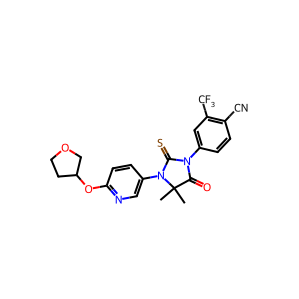 CC1(C)C(=O)N(c2ccc(C#N)c(C(F)(F)F)c2)C(=S)N1c1ccc(OC2CCOC2)nc1